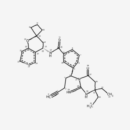 C#CCCC(c1cccc(C(=O)N[C@H]2CC3(CCC3)Oc3ccccc32)c1)N1C(=N)NC(CC)(CC)CC1=O